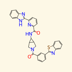 O=C(NC1C2CN(C(=O)c3cccc(-c4nc5ccccc5s4)c3)CC21)c1cccc(-c2nc3ccccc3[nH]2)n1